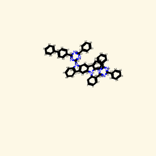 C1=CCC(n2c3ccccc3c3cc4c(cc32)c2c(n4-c3nc(-c4ccccc4)nc(-c4ccc(-c5ccccc5)cc4)n3)C=CCC2)C(c2nc(-c3ccccc3)nc(-c3ccccc3)n2)=C1